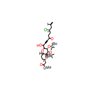 C=C(I)C[C@H](Cl)CCC(=O)C#C[C@H](O)[C@@H]1O[C@H]2CC[C@H](CC(=O)OC)O[C@@H]2C(O[Si](C)(C)C(C)(C)C)C1O[Si](C)(C)C(C)(C)C